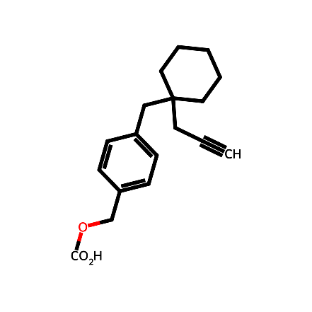 C#CCC1(Cc2ccc(COC(=O)O)cc2)CCCCC1